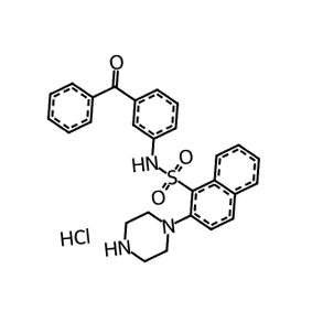 Cl.O=C(c1ccccc1)c1cccc(NS(=O)(=O)c2c(N3CCNCC3)ccc3ccccc23)c1